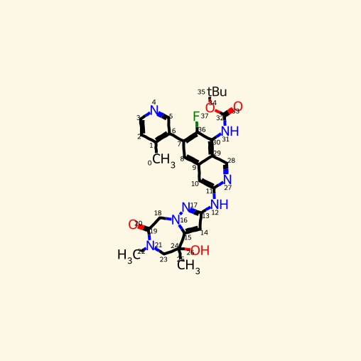 Cc1ccncc1-c1cc2cc(Nc3cc4n(n3)CC(=O)N(C)CC4(C)O)ncc2c(NC(=O)OC(C)(C)C)c1F